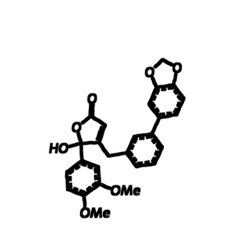 COc1ccc(C2(O)OC(=O)C=C2Cc2cccc(-c3ccc4c(c3)OCO4)c2)cc1OC